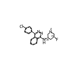 CN1C[C@@H](F)C[C@@H](Nc2nnc(-c3ccc(Cl)cc3)c3ccccc23)C1